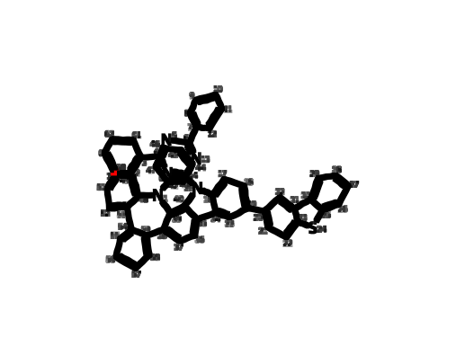 c1ccc(-c2nc(-c3ccccc3)nc(-n3c4ccc(-c5ccc6sc7ccccc7c6c5)cc4c4ccc5c(c43)N(c3ccccc3)c3ccccc3-c3ccccc3-5)n2)cc1